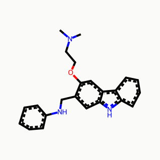 CN(C)CCOc1cc2c(cc1CNc1ccccc1)[nH]c1ccccc12